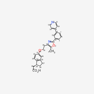 Cc1oc(-c2cccc(-c3ccncc3)c2)nc1CCOc1ccc2c(c1)CC[C@H]2CC(=O)O